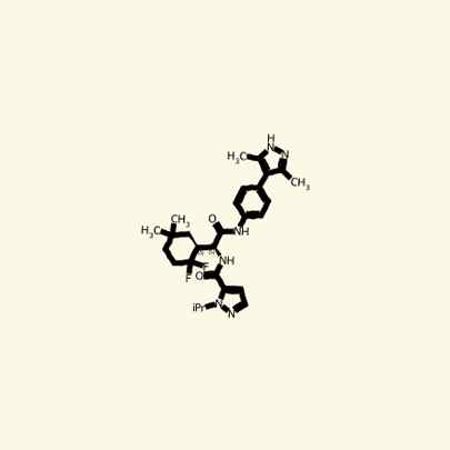 Cc1n[nH]c(C)c1-c1ccc(NC(=O)[C@@H](NC(=O)c2ccnn2C(C)C)[C@@H]2CC(C)(C)CCC2(F)F)cc1